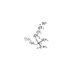 CC(C)(C)Cl.[Cl-].[Cl-].[Cl-].[Cl-].[Ti+4]